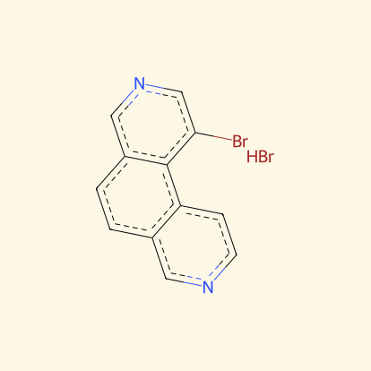 Br.Brc1cncc2ccc3cnccc3c12